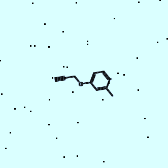 C#CCOc1cc[c]c(C)c1